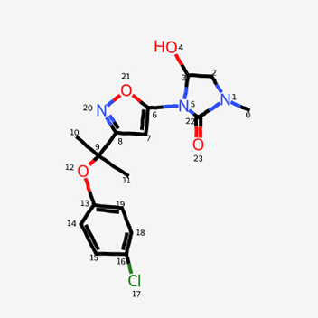 CN1CC(O)N(c2cc(C(C)(C)Oc3ccc(Cl)cc3)no2)C1=O